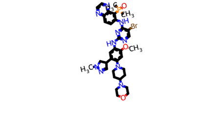 COc1cc(N2CCC(N3CCOCC3)CC2)c(C2C=NN(C)C2)cc1Nc1ncc(Br)c(Nc2ccc3nccnc3c2P(C)(C)=O)n1